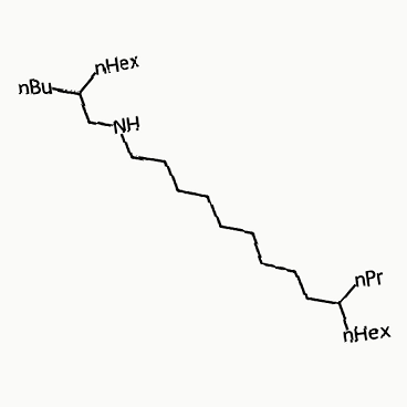 CCCCCCC(CCC)CCCCCCCCCNCC(CCCC)CCCCCC